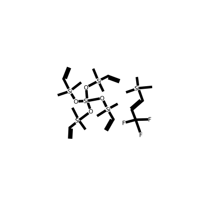 C=C[Si](C)(C)O[Si](O[Si](C)(C)C=C)(O[Si](C)(C)C=C)O[Si](C)(C)C=C.C[Si](C)(C)C=CC(F)(F)F